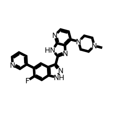 CN1CCN(c2ccnc3[nH]c(-c4n[nH]c5cc(F)c(-c6cccnc6)cc45)nc23)CC1